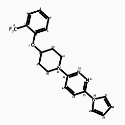 FC(F)(F)c1ccccc1OC1CCN(c2ccc(-n3cccc3)nn2)CC1